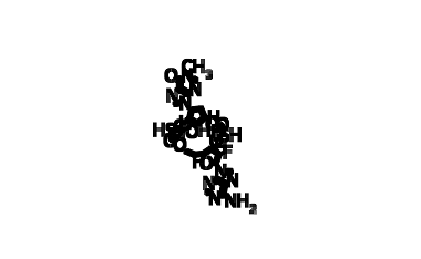 Cn1cnc2c(ncn2[C@@H]2C[C@@H]3OP(=O)(S)O[C@H]4[C@@H](F)[C@H](n5cnc6c(N)ncnc65)O[C@@H]4CCOP(=O)(S)O[C@@H]2[C@@H]3O)c1=O